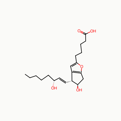 CCCCC[C@@H](O)C=C[C@@H]1c2cc(CCCCC(=O)O)oc2C[C@H]1O